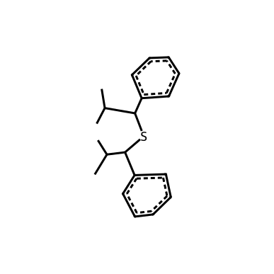 CC(C)C(SC(c1ccccc1)C(C)C)c1ccccc1